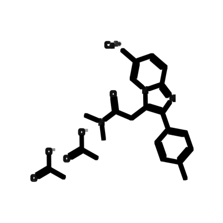 CC(=O)[O-].CC(=O)[O-].Cc1ccc(-c2nc3ccc(C)cn3c2CC(=O)N(C)C)cc1.[Ca+2]